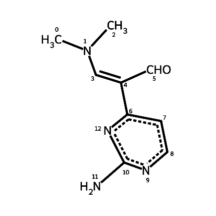 CN(C)C=C(C=O)c1ccnc(N)n1